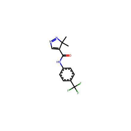 CC1(C)N=NC=C1C(=O)Nc1ccc(C(F)(F)F)cc1